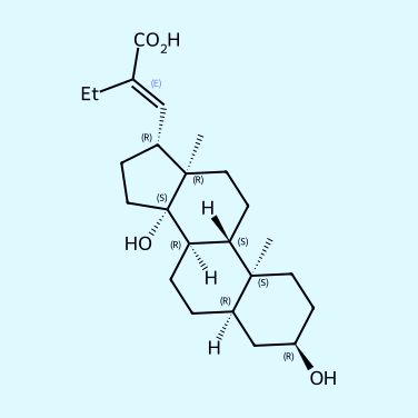 CC/C(=C\[C@H]1CC[C@]2(O)[C@@H]3CC[C@@H]4C[C@H](O)CC[C@]4(C)[C@H]3CC[C@]12C)C(=O)O